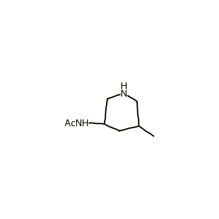 CC(=O)NC1CNCC(C)C1